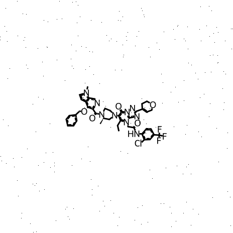 CCc1c(N2CCN(C(=O)c3ncc4c(ccn4C)c3OCc3ccccc3)[C@H](C)C2)c(=O)n2nc(C3=CCOCC3)nc2n1CC(=O)Nc1ccc(C(F)(F)F)cc1Cl